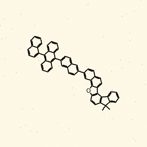 CC1(C)c2ccccc2-c2c1ccc1oc3c4cc(-c5ccc6cc(-c7c8ccccc8c(-c8cccc9ccccc89)c8ccccc78)ccc6c5)ccc4ccc3c21